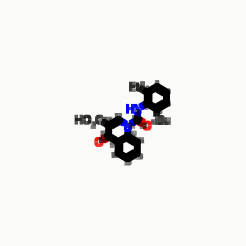 CCc1cccc(C(C)CC)c1NC(=O)n1cc(C(=O)O)c(=O)c2ccccc21